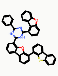 c1ccc(C2NC(c3cccc4c3oc3c(-c5cccc6c5sc5ccccc56)cccc34)NC(c3cccc4oc5ccccc5c34)N2)cc1